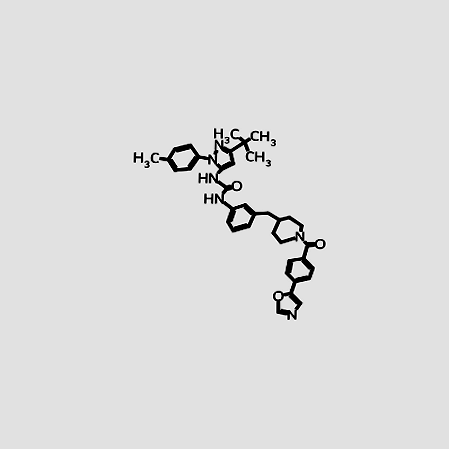 Cc1ccc(-n2nc(C(C)(C)C)cc2NC(=O)Nc2cccc(CC3CCN(C(=O)c4ccc(-c5cnco5)cc4)CC3)c2)cc1